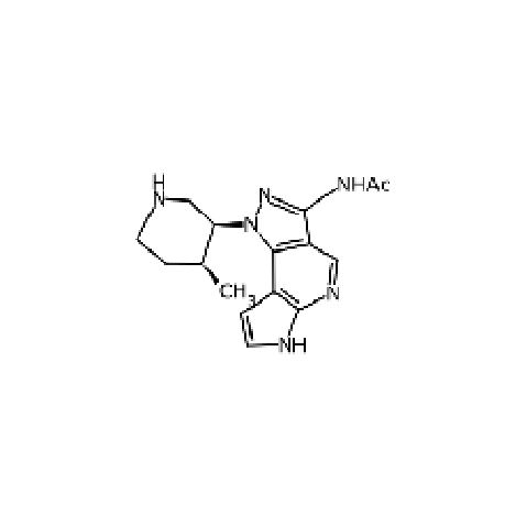 CC(=O)Nc1nn([C@@H]2CNCC[C@@H]2C)c2c1cnc1[nH]ccc12